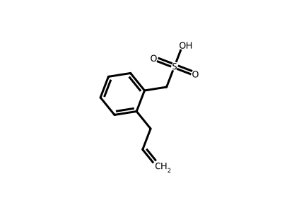 C=CCc1ccccc1CS(=O)(=O)O